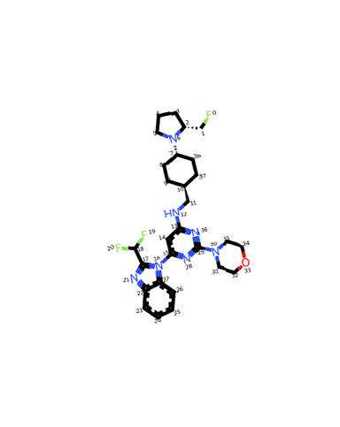 FC[C@H]1CCCN1[C@H]1CC[C@H](CNc2cc(-n3c(C(F)F)nc4ccccc43)nc(N3CCOCC3)n2)CC1